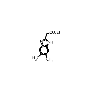 CCOC(=O)Cc1nc2cc(C)c(C)cc2[nH]1